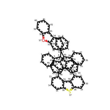 c1ccc(-c2c3ccccc3c(-c3cccc4sc5cccc(-c6c7ccccc7c(-c7ccc8c(c7)oc7ccccc78)c7ccccc67)c5c34)c3ccccc23)cc1